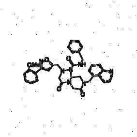 COc1ccccc1-c1cc(CN2CC(=O)N3CC(=O)N(Cc4cccc5ncccc45)CC3N2C(=O)NCc2ccccc2)on1